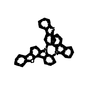 c1ccc2c(c1)oc1c2ccc2c1c1cccc(-n3c4ccccc4c4ccccc43)c1n2-c1ccc2sc3ccccc3c2c1